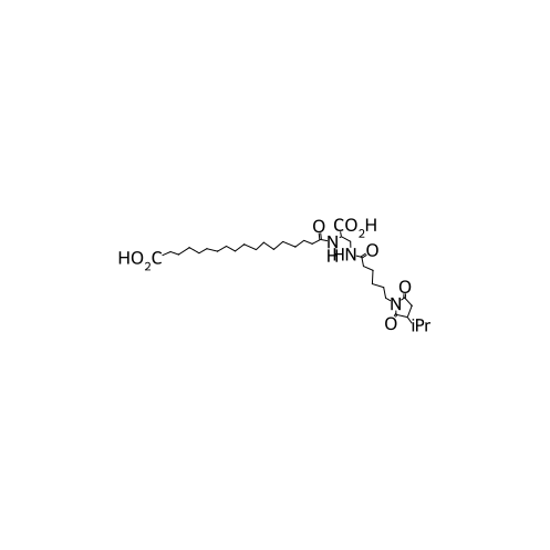 CC(C)C1CC(=O)N(CCCCCC(=O)NCC(NC(=O)CCCCCCCCCCCCCCCCC(=O)O)C(=O)O)C1=O